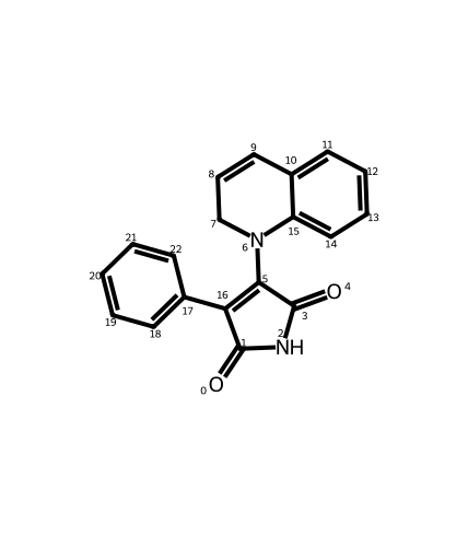 O=C1NC(=O)C(N2CC=Cc3ccccc32)=C1c1ccccc1